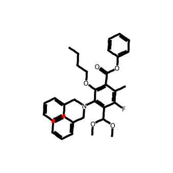 CCCCOc1c(C(=O)Oc2ccccc2)c(C)c(F)c(C(OC)OC)c1N(Cc1ccccc1)Cc1ccccc1